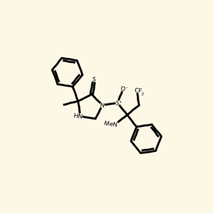 CNC(CC(F)(F)F)(c1ccccc1)[S+]([O-])N1CNC(C)(c2ccccc2)C1=S